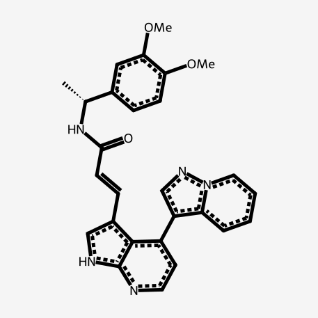 COc1ccc([C@@H](C)NC(=O)/C=C/c2c[nH]c3nccc(-c4cnn5ccccc45)c23)cc1OC